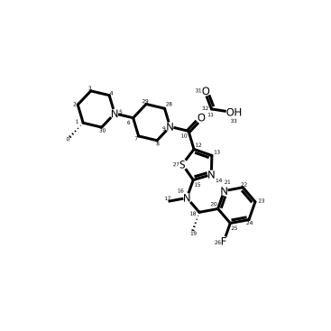 C[C@@H]1CCCN(C2CCN(C(=O)c3cnc(N(C)[C@@H](C)c4ncccc4F)s3)CC2)C1.O=CO